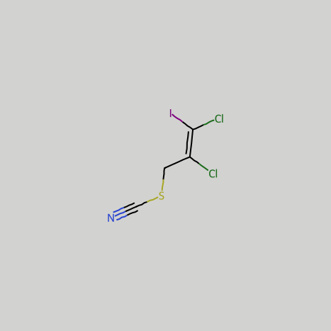 N#CSC/C(Cl)=C(/Cl)I